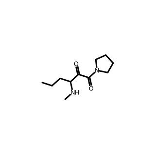 CCCC(NC)C(=O)C(=O)N1CCCC1